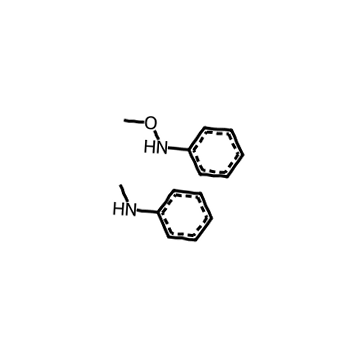 CNc1ccccc1.CONc1ccccc1